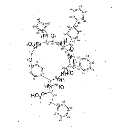 O=C1COc2ccc(cc2)C[C@@H](C(=O)N[C@@H](CCc2ccccc2)C(=O)O)NC(=O)[C@H](Cc2ccccc2)NC(=O)[C@@H](Cc2ccc(-c3ccccc3)cc2)NC(=O)[C@H](Cc2cccs2)N1